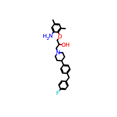 Cc1cc(C)c(OCC(O)CN2CCC(c3ccc(Cc4ccc(F)cc4)cc3)CC2)c(N)c1